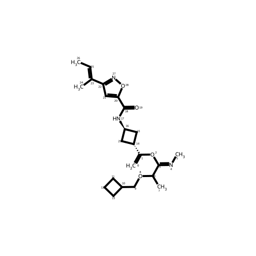 C=C(O/C(=N\C)C(C)OCC1CCC1)[C@H]1C[C@H](NC(=O)c2cc(/C(C)=C/C)no2)C1